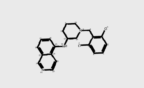 Clc1cccc(Cl)c1CN1CCCC(Nc2cccc3cnccc23)C1